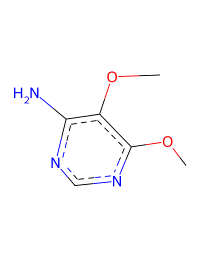 COc1ncnc(N)c1OC